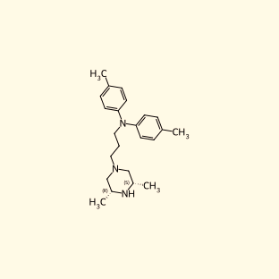 Cc1ccc(N(CCCN2C[C@@H](C)N[C@@H](C)C2)c2ccc(C)cc2)cc1